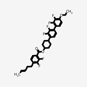 C/C=C/CCc1ccc(C(=O)OC2CCC(c3ccc(-c4ccc(OCC)c(F)c4F)c(F)c3F)CC2)c(F)c1F